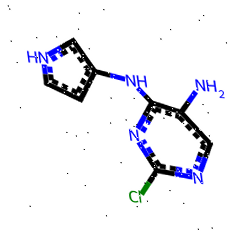 Nc1cnc(Cl)nc1Nc1cc[nH]c1